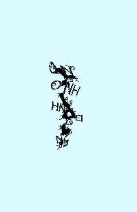 CN1C[C@H](C(=O)NCc2cc3cc(Cl)c(OCc4cscn4)cc3[nH]2)C1=O